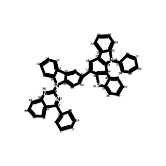 c1ccc(-c2nc(-n3c4ccccc4c4cc(-c5cc6c7ccccc7n(-c7ccccc7)c6c6c5sc5ccccc56)ccc43)nc3ccccc23)cc1